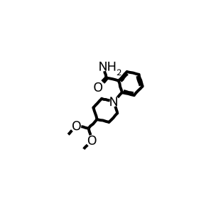 COC(OC)C1CCN(c2ccccc2C(N)=O)CC1